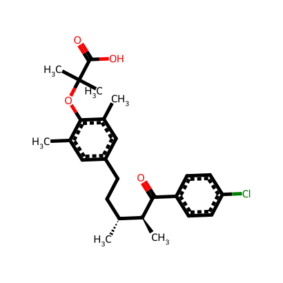 Cc1cc(CC[C@@H](C)[C@H](C)C(=O)c2ccc(Cl)cc2)cc(C)c1OC(C)(C)C(=O)O